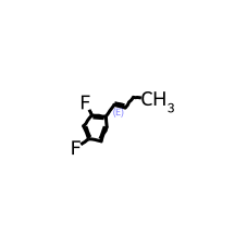 CC/C=C/c1ccc(F)cc1F